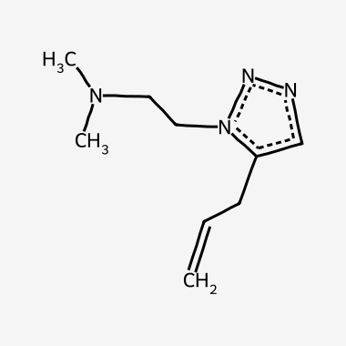 C=CCc1cnnn1CCN(C)C